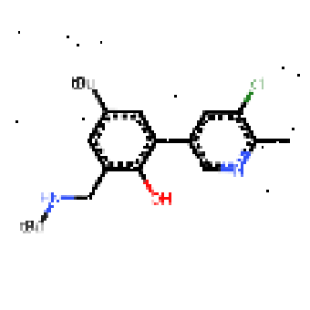 Cc1ncc(-c2cc(C(C)(C)C)cc(CNC(C)(C)C)c2O)cc1Cl